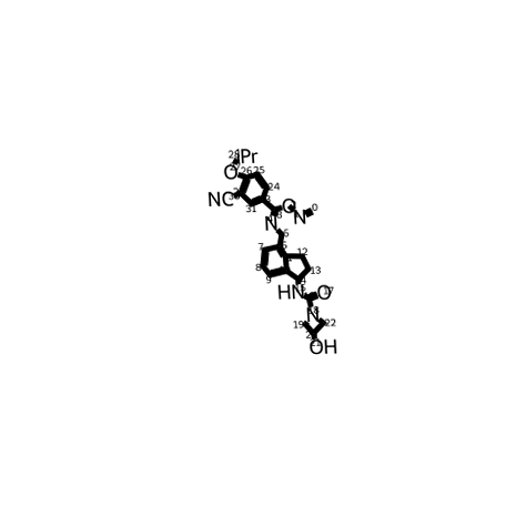 C=NO/C(=N\Cc1cccc2c1CCC2NC(=O)N1CC(O)C1)c1ccc(OC(C)C)c(C#N)c1